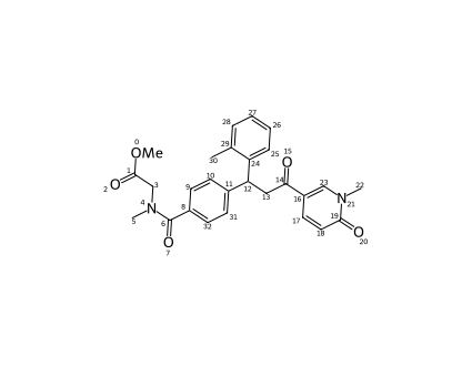 COC(=O)CN(C)C(=O)c1ccc(C(CC(=O)c2ccc(=O)n(C)c2)c2ccccc2C)cc1